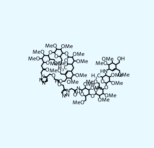 COCC1=CC(CC2C(C)OC(OC3C(COC)OC(OC4C(COC)OC(CC(=O)Cn5nncc5COCCOCc5cnnn5CC(=O)NC5OC(COC)C(OC6OC(COC)C(OC7OC(C)C(NC8C=C(COC)C(CO)C(OC)C8OC)C(OC)C7OC)C(OC)C6OC)C(OC)C5OC)C(OC)C4OC)C(OC)C3OC)C(OC)C2OC)C(OC)C(OC)C1CO